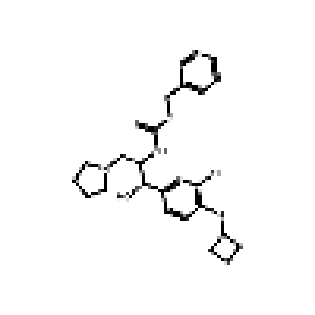 O=C(N[C@H](CN1CCCC1)[C@H](O)c1ccc(OC2CCC2)c(Cl)c1)OCc1ccccc1